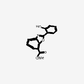 COC(=O)c1cccc2nc(-c3ccccc3O)oc12